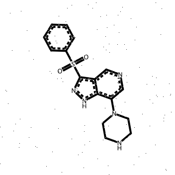 O=S(=O)(c1ccccc1)c1n[nH]c2c(N3CCNCC3)cncc12